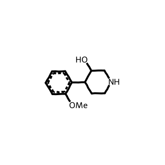 COc1ccccc1C1CCNCC1O